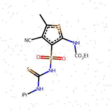 CCOC(=O)Nc1sc(C)c(C#N)c1S(=O)(=O)NC(=S)NC(C)C